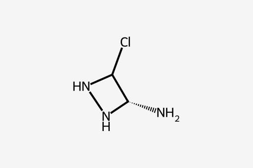 N[C@@H]1NNC1Cl